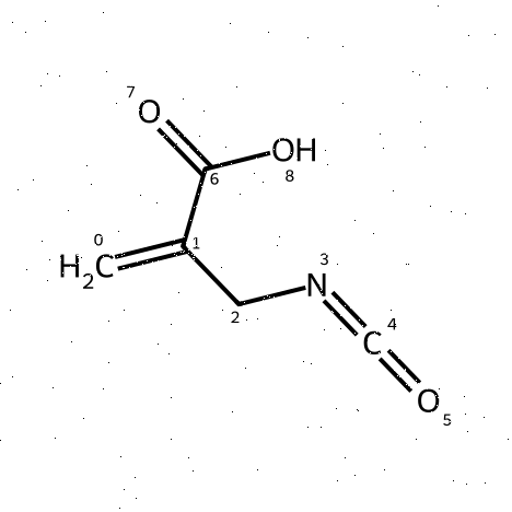 C=C(CN=C=O)C(=O)O